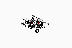 CCO[C@H]1C(=O)[C@]2(C)[C@@H](O[Si](CC)(CC)CC)C[C@H]3OC[C@@]3(OC(C)=O)[C@H]2[C@H](OC(=O)c2ccccc2)[C@]2(O)C[C@H](O[Si](CC)(CC)CC)C(C)=C1C2(C)C